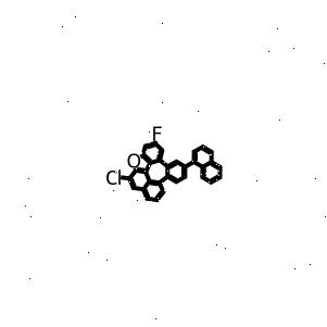 Fc1cc2c3c(c1)oc1c(Cl)cc4cccc(c4c13)-c1ccc(-c3cccc4ccccc34)cc1-2